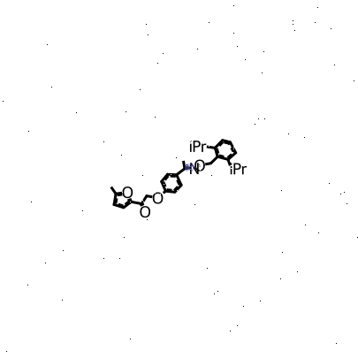 C/C(=N\OCc1c(C(C)C)cccc1C(C)C)c1ccc(OCC(=O)c2ccc(C)o2)cc1